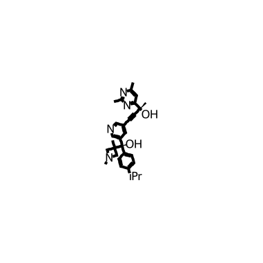 Cc1cc([C@](C)(O)C#Cc2cncc([C@@](O)(c3ccc(C(C)C)cc3)C3(C)CN(C)C3)c2)nc(C)n1